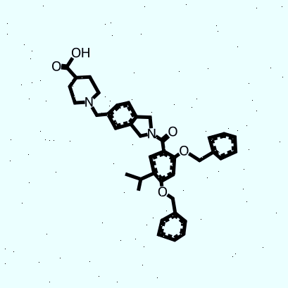 CC(C)c1cc(C(=O)N2Cc3ccc(CN4CCC(C(=O)O)CC4)cc3C2)c(OCc2ccccc2)cc1OCc1ccccc1